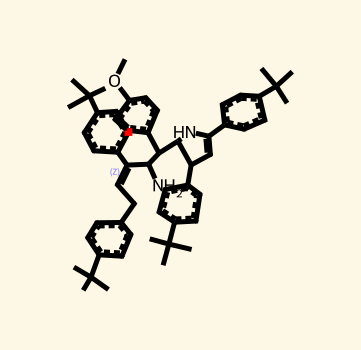 COc1ccc(C(C(N)/C(=C\Cc2ccc(C(C)(C)C)cc2)c2ccc(C(C)(C)C)cc2)C2NC(c3ccc(C(C)(C)C)cc3)=CC2c2ccc(C(C)(C)C)cc2)cc1